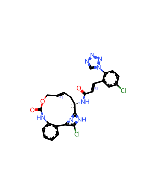 O=C(/C=C/c1cc(Cl)ccc1-n1cnnn1)N[C@H]1C/C=C/COC(=O)Nc2ccccc2-c2nc1[nH]c2Cl